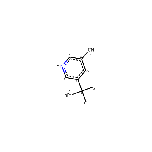 CCCC(C)(C)c1cncc(C#N)c1